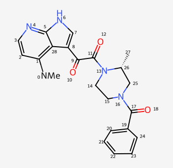 CNc1ccnc2[nH]cc(C(=O)C(=O)N3CCN(C(=O)c4ccccc4)C[C@H]3C)c12